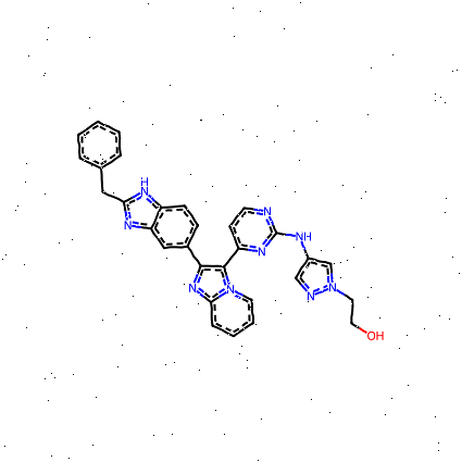 OCCn1cc(Nc2nccc(-c3c(-c4ccc5[nH]c(Cc6ccccc6)nc5c4)nc4ccccn34)n2)cn1